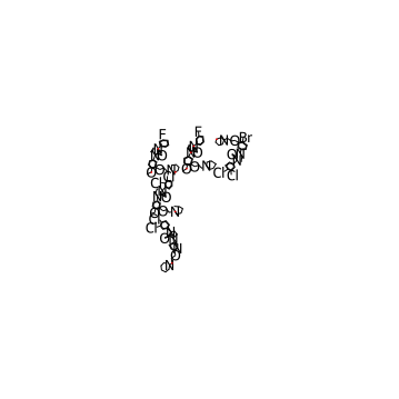 COc1ccc(-n2ccn(-c3cccc(F)c3)c2=O)cc1OCCN1CCCCC1.COc1ccc(-n2ccn(-c3cccc(F)c3)c2=O)cc1OCCN1CCCCC1.COc1ccc(N2CCN(c3cccc(Cl)c3Cl)C2=O)cc1OCCN1CCCCC1.O=C1N(c2ccc(Cl)c(Cl)c2)CCN1c1ccc(Br)c(OCCN2CCCCC2)c1.O=C1N(c2ccc(OCCN3CCCCC3)nc2)CCN1c1ccc(Cl)c(Cl)c1